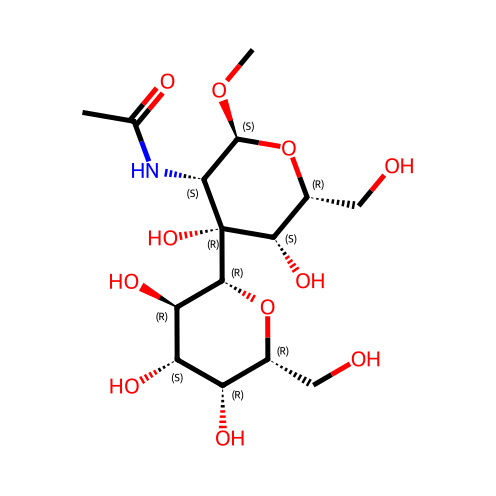 CO[C@H]1O[C@H](CO)[C@H](O)[C@@](O)([C@@H]2O[C@H](CO)[C@H](O)[C@H](O)[C@H]2O)[C@@H]1NC(C)=O